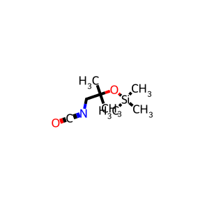 CC(C)(CN=C=O)O[Si](C)(C)C